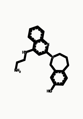 NCCNc1cc(N2CCCc3ccc(O)cc3C2)nc2ccccc12